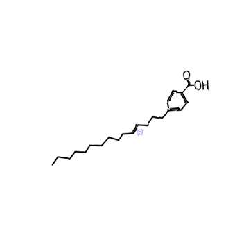 CCCCCCCCCC/C=C/CCCc1ccc(C(=O)O)cc1